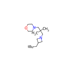 CC(C)(C)CC1CN(CC(C)(C)CN2CCOCC2)C1